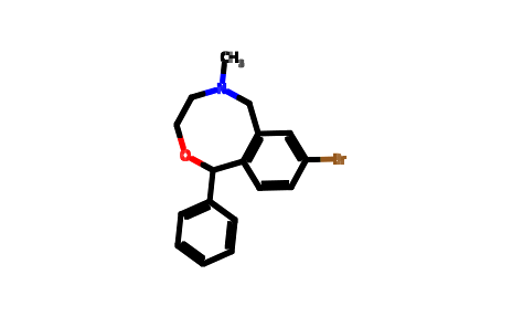 CN1CCOC(c2ccccc2)c2ccc(Br)cc2C1